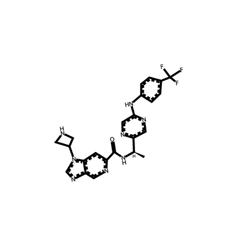 C[C@@H](NC(=O)c1cc2c(cn1)ncn2C1CNC1)c1cnc(Nc2ccc(C(F)(F)F)cc2)cn1